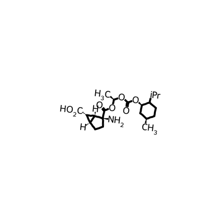 CC(C)C1CC[C@@H](C)C[C@H]1OC(=O)O[C@H](C)OC(=O)[C@]1(N)CC[C@H]2[C@H](C(=O)O)[C@H]21